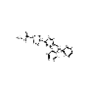 CC(C)(C)OC(=O)N1CCN(c2cnc(N=C(c3ccccc3)c3ccccc3)cn2)CC1